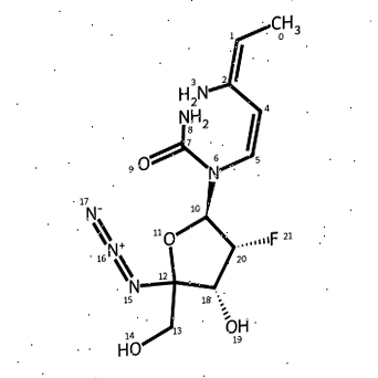 C/C=C(N)\C=C/N(C(N)=O)[C@@H]1OC(CO)(N=[N+]=[N-])[C@@H](O)[C@H]1F